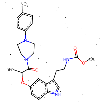 CCCC(Oc1ccc2[nH]cc(CCNC(=O)OC(C)(C)C)c2c1)C(=O)N1CCN(c2ccc([N+](=O)[O-])cc2)CC1